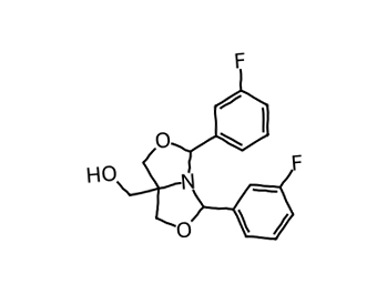 OCC12COC(c3cccc(F)c3)N1C(c1cccc(F)c1)OC2